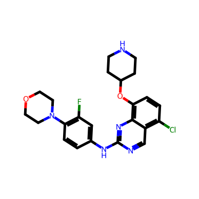 Fc1cc(Nc2ncc3c(Cl)ccc(OC4CCNCC4)c3n2)ccc1N1CCOCC1